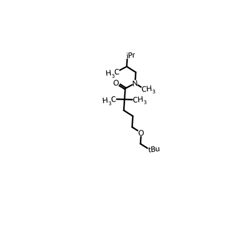 CC(C)C(C)CN(C)C(=O)C(C)(C)CCCOCC(C)(C)C